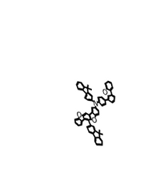 CC1(C)c2ccccc2-c2ccc(-c3c4oc5ccc(N(c6ccc(-c7cccc8c7oc7ccccc78)cc6)c6ccc7c(c6)C(C)(C)c6ccccc6-7)cc5c4cc4oc5ccccc5c34)cc21